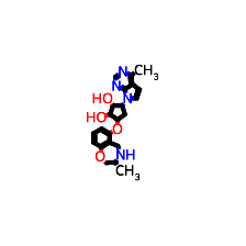 Cc1ncnc2c1ccn2C1CC(Oc2cccc3c2CNC(C)CO3)C(O)C1O